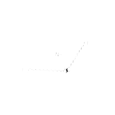 CCCCCCCCCCCCCCCCCCOS(=O)(=O)OCCCCCCCCCCCCCCCC.N